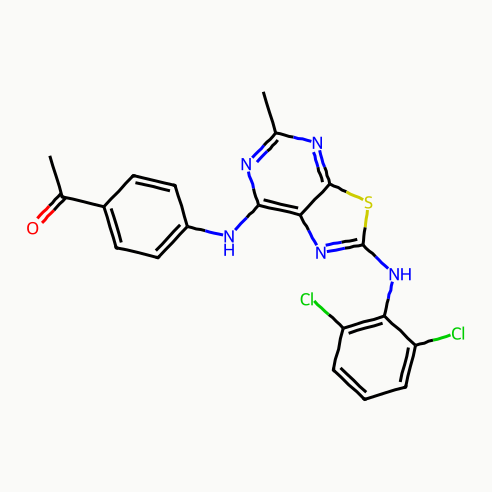 CC(=O)c1ccc(Nc2nc(C)nc3sc(Nc4c(Cl)cccc4Cl)nc23)cc1